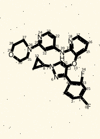 Fc1ccc(-c2nn(C3CC3)cc2Oc2cccnc2Nc2ccnc(N3CCOCC3)c2)c(F)c1